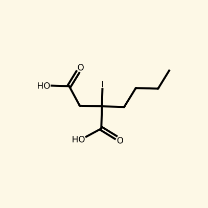 CCCCC(I)(CC(=O)O)C(=O)O